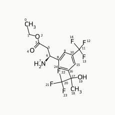 CCOC(=O)C[C@H](N)c1cc(C(F)(F)F)cc(C(C)(O)C(F)(F)F)c1